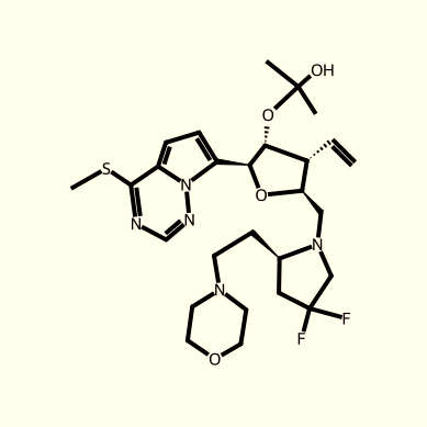 C=C[C@H]1[C@@H](OC(C)(C)O)[C@H](c2ccc3c(SC)ncnn23)O[C@@H]1CN1CC(F)(F)C[C@H]1CCN1CCOCC1